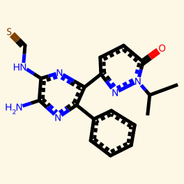 CC(C)n1nc(-c2nc(NC=S)c(N)nc2-c2ccccc2)ccc1=O